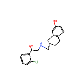 Oc1ccc2c(c1)CC(CNCC(O)c1ccccc1Cl)CC2